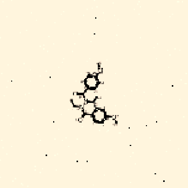 CCN(C(=O)c1ccc(OC)cc1)N(CC)C(=O)c1ccc(OC)cc1